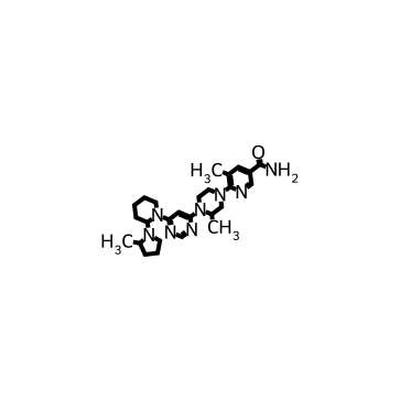 Cc1cc(C(N)=O)cnc1N1CCN(c2cc(N3CCCCC3N3CCCC3C)ncn2)C(C)C1